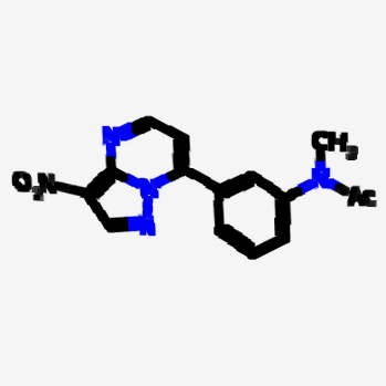 CC(=O)N(C)c1cccc(-c2ccnc3c([N+](=O)[O-])cnn23)c1